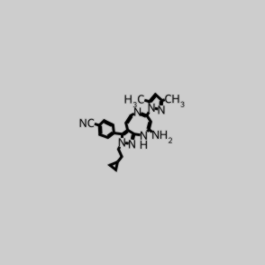 Cc1cc(C)n(-c2cc(N)[nH]c3nn(CCC4CC4)c(-c4ccc(C#N)cc4)c3ccn2)n1